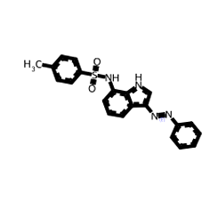 Cc1ccc(S(=O)(=O)Nc2cccc3c(/N=N/c4ccccc4)c[nH]c23)cc1